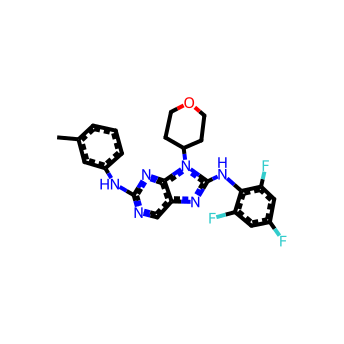 Cc1cccc(Nc2ncc3nc(Nc4c(F)cc(F)cc4F)n(C4CCOCC4)c3n2)c1